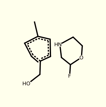 Cc1ccc(CO)cc1.FC1CNCCO1